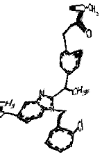 COC(=O)Cc1ccc(C(C)c2nc3cc(OC)ccc3n2Cc2ccccc2Cl)cc1